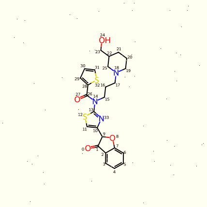 O=C1c2ccccc2OC1c1csc(N(CCCN2CCCC(CO)C2)C(=O)c2cccs2)n1